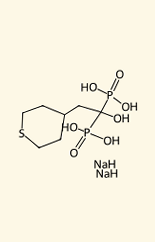 O=P(O)(O)C(O)(CC1CCSCC1)P(=O)(O)O.[NaH].[NaH]